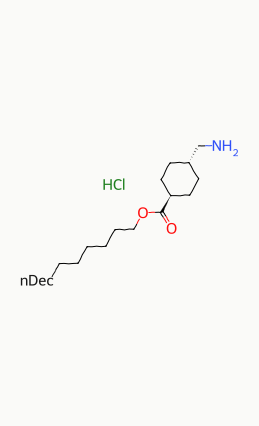 CCCCCCCCCCCCCCCCOC(=O)[C@H]1CC[C@H](CN)CC1.Cl